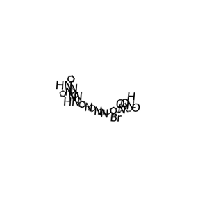 O=C1CCC(N2Cc3c(ccc(CN4CCN(C5CCN(c6ccc(Nc7ncc8nc(Nc9ccccc9)n(C9CCCC9)c8n7)cc6)CC5)CC4)c3Br)C2=O)C(=O)N1